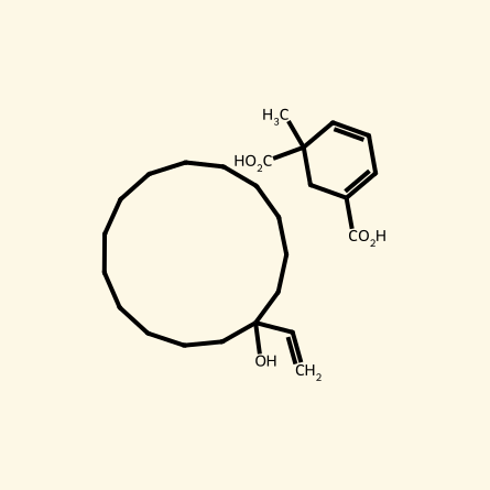 C=CC1(O)CCCCCCCCCCCCCC1.CC1(C(=O)O)C=CC=C(C(=O)O)C1